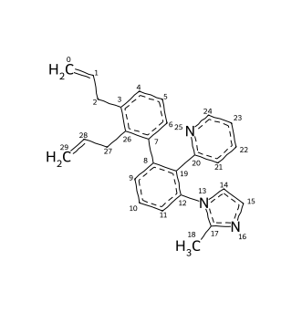 C=CCc1cccc(-c2cccc(-n3ccnc3C)c2-c2ccccn2)c1CC=C